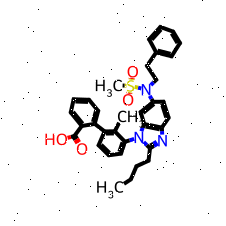 CCCCc1nc2ccc(N(CCc3ccccc3)S(C)(=O)=O)cc2n1-c1cccc(-c2ccccc2C(=O)O)c1C